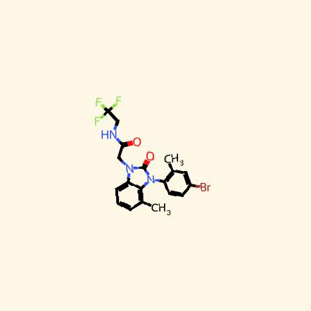 Cc1cc(Br)ccc1-n1c(=O)n(CC(=O)NCC(F)(F)F)c2cccc(C)c21